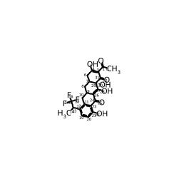 CC(=O)C1=C(O)CC2CC3Cc4c(C(C)C(F)(F)F)ccc(O)c4C(=O)C3=C(O)[C@]2(O)C1=O